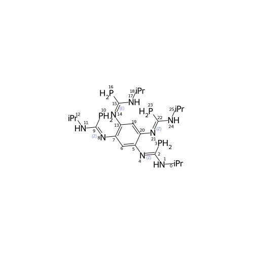 CC(C)N/C(P)=N/c1cc(/N=C(\P)NC(C)C)c(/N=C(/P)NC(C)C)cc1/N=C(\P)NC(C)C